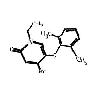 CCn1cc(Oc2c(C)cccc2C)c(Br)cc1=O